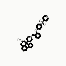 CCN1Cc2ccccc2C(C2CCCC2)(C2CCN(Cc3ccccc3Oc3ccc(S(=O)(=O)c4ccncc4)cc3)CC2)C1